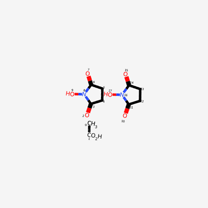 CC(=O)O.O=C1CCC(=O)N1O.O=C1CCC(=O)N1O